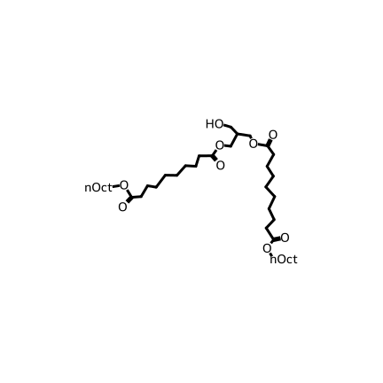 CCCCCCCCOC(=O)CCCCCCCCC(=O)OCC(CO)COC(=O)CCCCCCCCC(=O)OCCCCCCCC